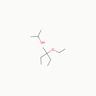 CC(C)O.CCOC(C)(CC)CC